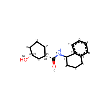 O=C(NC1CCCc2ccccc21)[C@H]1CCC[C@@H](O)C1